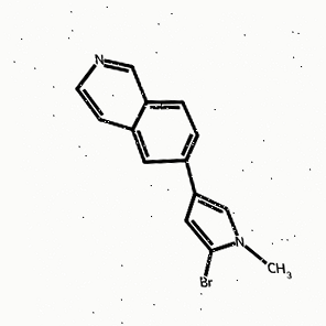 Cn1cc(-c2ccc3cnccc3c2)cc1Br